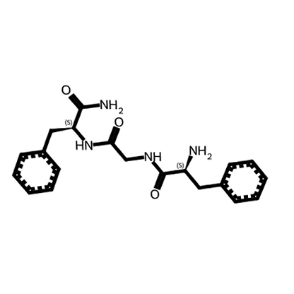 NC(=O)[C@H](Cc1ccccc1)NC(=O)CNC(=O)[C@@H](N)Cc1ccccc1